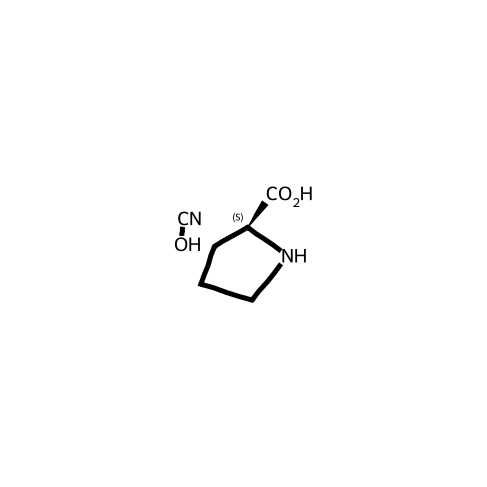 N#CO.O=C(O)[C@@H]1CCCN1